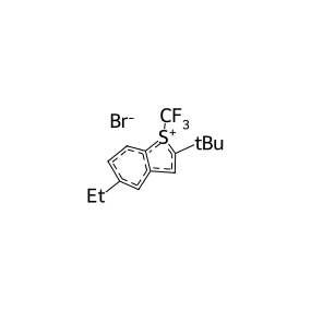 CCc1ccc2c(c1)cc(C(C)(C)C)[s+]2C(F)(F)F.[Br-]